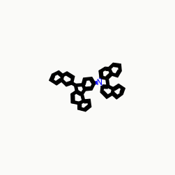 c1ccc2cc(C3c4ccc(-n5c6ccc7ccccc7c6c6c7ccccc7ccc65)cc4-c4c3ccc3ccccc43)ccc2c1